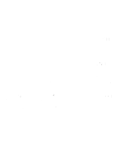 CC(O)C(NCCO)OCCC[Si](C)(C)CC[Si](C)(C)C